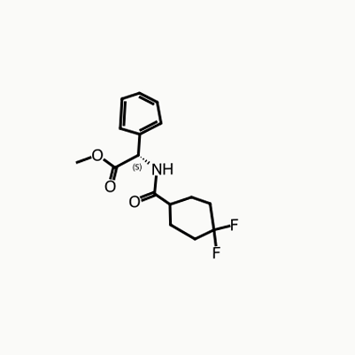 COC(=O)[C@@H](NC(=O)C1CCC(F)(F)CC1)c1ccccc1